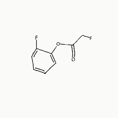 O=C(CF)Oc1ccccc1F